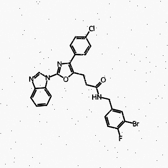 O=C(CCc1oc(-n2cnc3ccccc32)nc1-c1ccc(Cl)cc1)NCc1ccc(F)c(Br)c1